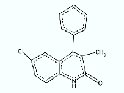 Cc1c(-c2ccccc2)c2cc(Cl)ccc2[nH]c1=O